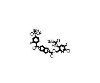 CC(C)(C)C(=O)Nc1cc(Cl)c(Cl)nc1COC(=O)N1CC2=C(C1)CN(C(=O)c1ccc(S(N)(=O)=O)cc1F)C2